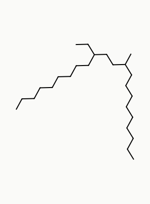 CCCCCCCCCC(C)CCC(CC)CCCCCCCCC